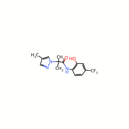 Cc1cnn(C(C)(C)C(=O)Nc2ccc(C(F)(F)F)cc2O)c1